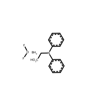 B.FOF.O=C(O)CN(c1ccccc1)c1ccccc1